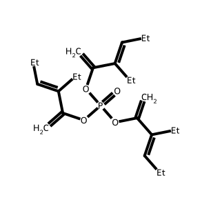 C=C(OP(=O)(OC(=C)/C(=C/CC)CC)OC(=C)/C(=C/CC)CC)/C(=C/CC)CC